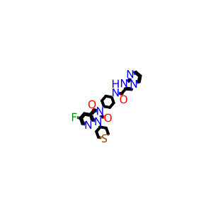 O=C(NC1CCC(n2c(=O)c3cc(F)cnc3n(C3CCSCC3)c2=O)CC1)c1cn2cccnc2n1